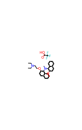 CCN(CC)CCOc1ccc2ccccc2c1N(C)c1c(OC)ccc2ccccc12.O=C(O)C(F)(F)F